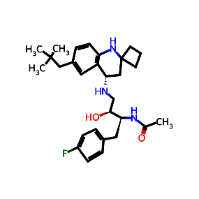 CC(=O)N[C@@H](Cc1ccc(F)cc1)[C@@H](O)CN[C@H]1CC2(CCC2)Nc2ccc(CC(C)(C)C)cc21